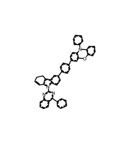 C1=Cc2c(c3cc(-c4ccc(-c5ccc6c(c5)Oc5ccccc5N6c5ccccc5)cc4)ccc3n2-c2nc(-c3ccccc3)c3ccccc3n2)CC1